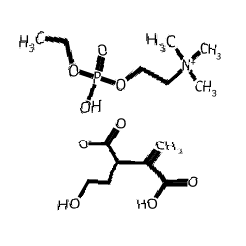 C=C(C(=O)O)C(CCO)C(=O)[O-].CCOP(=O)(O)OCC[N+](C)(C)C